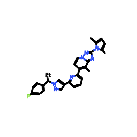 CCC(c1ccc(F)cc1)n1cc(-c2cccc(-c3ccn4nc(-n5c(C)ccc5C)nc4c3C)n2)cn1